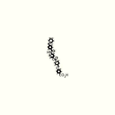 O=C(O)c1ccc(OCC2CCN(C(=O)Oc3ccc(NC(=O)c4ccc(CN5CCCCC5)cc4)nc3)CC2)cc1